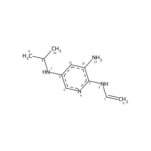 C=CNc1ncc(NC(C)C)cc1N